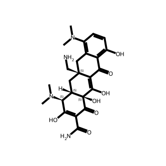 CN(C)c1ccc(O)c2c1C[C@@]1(CN)C[C@H]3[C@H](N(C)C)C(O)=C(C(N)=O)C(=O)[C@@]3(O)C(O)=C1C2=O